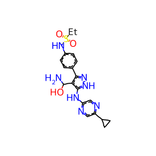 CCS(=O)(=O)Nc1ccc(-c2n[nH]c(Nc3cnc(C4CC4)cn3)c2C(N)O)cc1